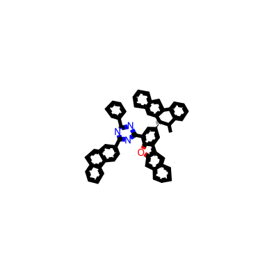 CC1c2ccccc2-c2cc3ccccc3cc2[C@H]1c1cc(-c2nc(-c3ccccc3)nc(-c3ccc4c(ccc5ccccc54)c3)n2)c2oc3cc4ccccc4cc3c2c1